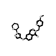 COc1ccc(Cn2ncc3cc(Sc4cnn(C5CCCCO5)c4)ccc3c2=O)nc1